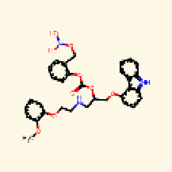 COc1ccccc1OCCNCC(COc1cccc2[nH]c3ccccc3c12)OC(=O)Oc1ccccc1CON(O)O